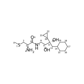 CSC[C@H](N)C(=O)NC[C@@H](O)[C@](O)(CC1CCCCC1)C1CC1